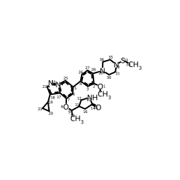 COc1cc(-c2cc(OC(C)C3CNC(=O)C3)c3c(C4CC4)cnn3c2)ccc1N1CCN(SC)CC1